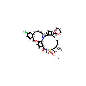 COC[C@@H]1[C@@H](C)CCC[C@@H](C2OCCCO2)[C@@H]2CC[C@H]2CN2CCCCc3cc(Cl)ccc3COc3ccc(cc32)C(=O)NS1(=O)=O